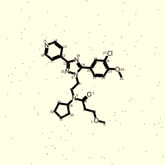 COCCC(=O)N(CCn1nc(-c2ccncc2)nc1-c1ccc(OC)c(Cl)c1)C1CCCC1